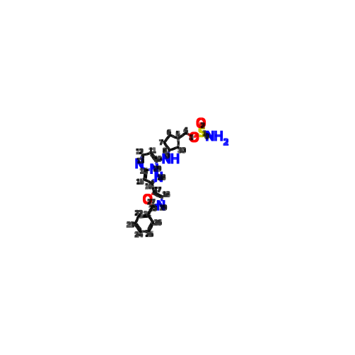 NS(=O)OCC1CCC(Nc2ccnc3cc(-c4cnc(-c5ccccc5)o4)nn23)C1